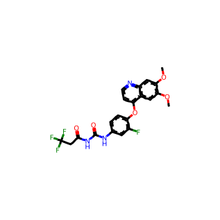 COc1cc2nccc(Oc3ccc(NC(=O)NC(=O)CC(F)(F)F)cc3F)c2cc1OC